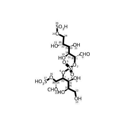 O=C[C@H](OS(=O)(=O)O[C@@H]([C@@H](O)[C@H](O)CO)[C@H](C=O)OS(=O)(=O)O)[C@@H](O)[C@@H](O)[C@H](O)COS(=O)(=O)O